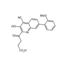 COc1ccccc1-c1ccc2c(C#N)c(O)c(C(=O)CCC(=O)O)nc2c1